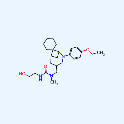 CCOc1ccc(N2CC(CN(C)C(=O)NCCO)CC3CC2C32CCCCC2)cc1